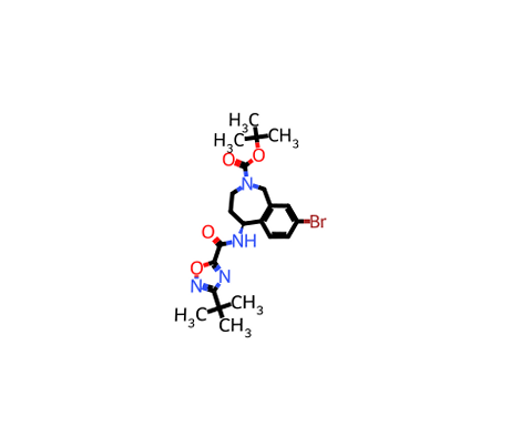 CC(C)(C)OC(=O)N1CC[C@H](NC(=O)c2nc(C(C)(C)C)no2)c2ccc(Br)cc2C1